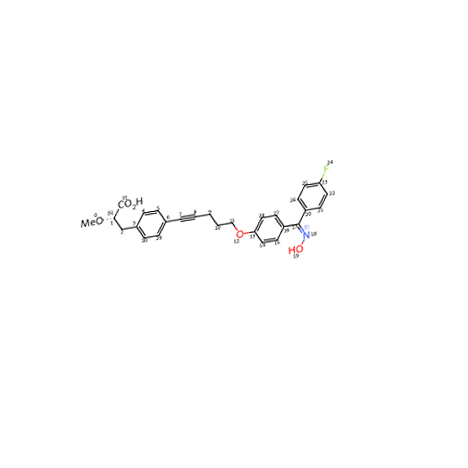 CO[C@@H](Cc1ccc(C#CCCCOc2ccc(/C(=N\O)c3ccc(F)cc3)cc2)cc1)C(=O)O